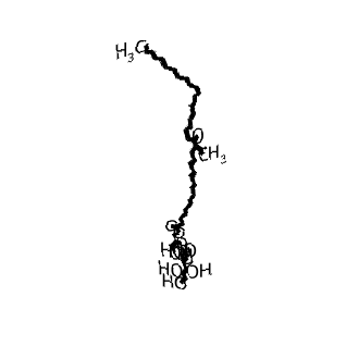 CCCCCCCCCCC/C=C\CCCCCC/C=C\C(=O)C(CC)CCCCCCCCCCCCCCC(=O)OC[C@H](CO)OP(=O)(O)OC[C@@H](O)[C@H](O)CO